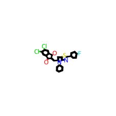 O=C1C(=Cc2cc3sc(-c4ccc(F)cc4)nc3n2-c2ccccc2)C(=O)c2cc(Cl)c(Cl)cc21